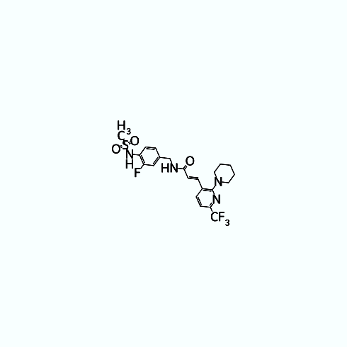 CS(=O)(=O)Nc1ccc(CNC(=O)C=Cc2ccc(C(F)(F)F)nc2N2CCCCC2)cc1F